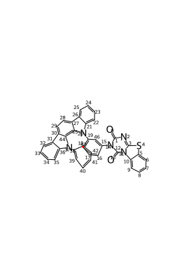 O=c1nc2sc3ccccc3n2c(=O)n1-c1cccc(-n2c3ccccc3c3ccc4c5ccccc5n(-c5ccccc5)c4c32)c1